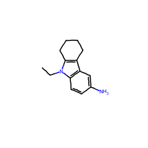 CCn1c2c(c3cc(N)ccc31)CCCC2